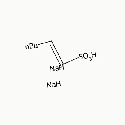 CCCCC=CS(=O)(=O)O.[NaH].[NaH]